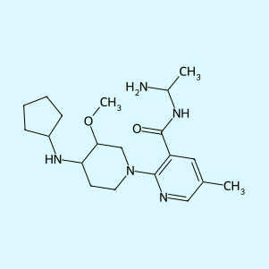 COC1CN(c2ncc(C)cc2C(=O)NC(C)N)CCC1NC1CCCC1